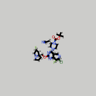 CC(C)(C)OC(=O)N1CCN(c2nc(OC[C@@]34CCCN3C[C@H](F)C4)nc3c(F)c(Cl)ncc23)C[C@@H]1CC#N